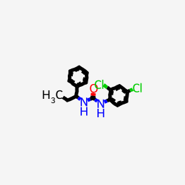 CCC(NC(=O)Nc1ccc(Cl)cc1Cl)c1ccccc1